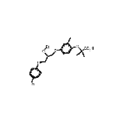 CCOC(COc1ccc(C(C)C)cc1)CSc1ccc(OC(C)(C)C(=O)O)c(C)c1